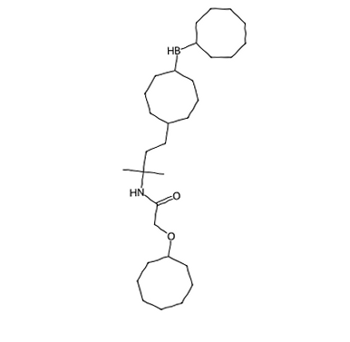 CC(C)(CCC1CCCC(BC2CCCCCCC2)CCC1)NC(=O)COC1CCCCCCC1